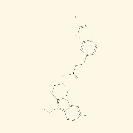 CC(C)(C)OC(=O)Nc1cccc(CCC(=O)N[C@H]2CCc3c(c4cc(F)ccc4n3CC(=O)O)C2)c1